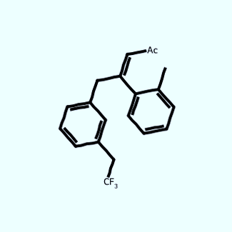 CC(=O)/C=C(/Cc1cccc(CC(F)(F)F)c1)c1ccccc1C